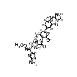 CO/N=C(\C(=O)N[C@@H]1C(=O)N2C(C(=O)[O-])=C(CSc3cc[n+](NC4=NCCN4)cc3)CS[C@H]12)c1csc(N)n1